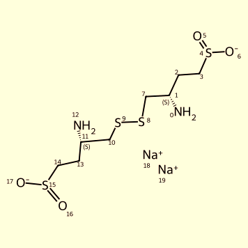 N[C@@H](CCS(=O)[O-])CSSC[C@@H](N)CCS(=O)[O-].[Na+].[Na+]